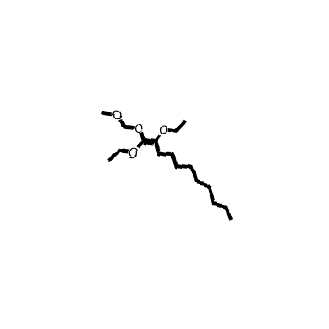 CCCCCCCCC/C(OCC)=C(\OCC)OCOC